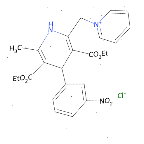 CCOC(=O)C1=C(C)NC(C[n+]2ccccc2)=C(C(=O)OCC)C1c1cccc([N+](=O)[O-])c1.[Cl-]